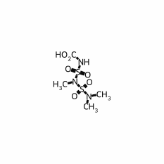 CN(C)S(=O)(=O)N(C)S(=O)(=O)NC(=O)O